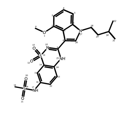 COc1cccc2c1c(C1=NS(=O)(=O)c3cc(NS(C)(=O)=O)ccc3N1)cn2CCC(C)C